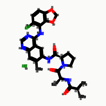 CN[C@@H](C)C(=O)N[C@H](C(=O)N1CCC[C@H]1C(=O)Nc1cc2c(Nc3c(Cl)ccc4c3OCO4)ncnc2cc1OC)C(C)(C)C.Cl